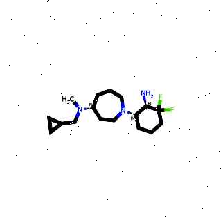 CN(CC1CC1)[C@@H]1CCCN([C@H]2CCCC(F)(F)[C@@H]2N)CC1